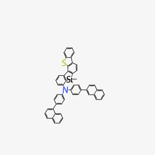 C[Si]1(C)c2ccc3c(sc4ccccc43)c2-c2cccc(N(c3ccc(-c4ccc5ccccc5c4)cc3)c3ccc(-c4cccc5ccccc45)cc3)c21